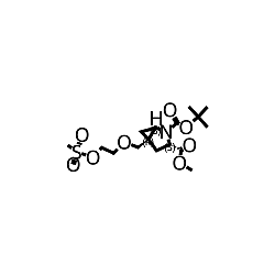 COC(=O)[C@@H]1C[C@]2(COCCOS(C)(=O)=O)C[C@@H]2N1C(=O)OC(C)(C)C